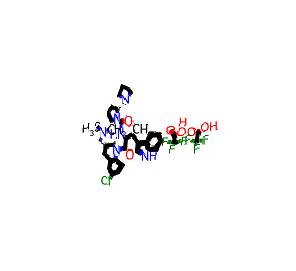 CC(c1c[nH]c2ccccc12)C(NC(=O)N1CCC[C@@H]1CN1CCCC1)C(=O)N1C[C@@H](CN(C)C)Cc2cc(Cl)ccc21.O=C(O)C(F)(F)F.O=C(O)C(F)(F)F